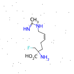 CC(=N)NC/C=C\CC[C@@](N)(CF)C(=O)O